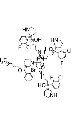 COCCCOC(c1ccccc1Br)[C@@H]1CCCN(C(CC(=O)NCCC[C@@](O)(c2cccc(Cl)c2F)[C@@H]2CCCNC2)(CC(=O)NCCC[C@@](O)(c2cccc(F)c2Cl)[C@@H]2CCCNC2)C(=O)NCCC[C@@](O)(c2cc(F)cc(Cl)c2)[C@@H]2CCCNC2)C1